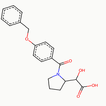 O=C(O)C(O)C1CCCN1C(=O)c1ccc(OCc2ccccc2)cc1